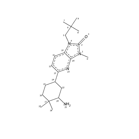 Cn1c(=O)n(CC(C)(C)C)c2ccc(C3CCC(C)(C)C(N)C3)nc21